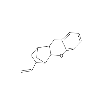 C=CC1CC2CC1C1Oc3ccccc3CC21